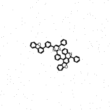 c1ccc(-c2cc(-c3cccc(-c4cccc5c4oc4ccccc45)c3)nc(-c3cccc(-c4c5c(cc6c(-c7ccccc7)nc7ccccc7c46)oc4ccccc45)c3)n2)cc1